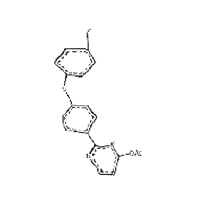 CC(=O)Oc1ccnc(-c2ccc(Oc3ccc(F)cc3)cc2)n1